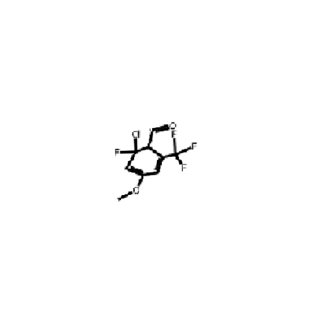 COC1=CC(F)(Cl)C([C]=O)C(C(F)(F)F)=C1